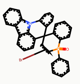 O=P1(c2ccccc2)c2ccccc2C2(c3ccccc3-n3c4ccccc4c4cccc2c43)c2cc(Br)ccc21